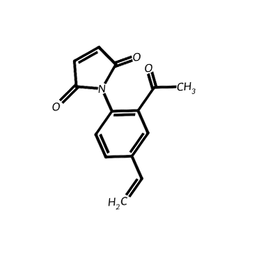 C=Cc1ccc(N2C(=O)C=CC2=O)c(C(C)=O)c1